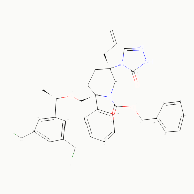 C=CC[C@]1(n2cn[nH]c2=O)CC[C@@](CO[C@H](C)c2cc(CF)cc(CF)c2)(c2ccccc2)N(C(=O)OCc2ccccc2)C1